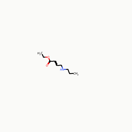 CCCNCC=CC(=O)OCC